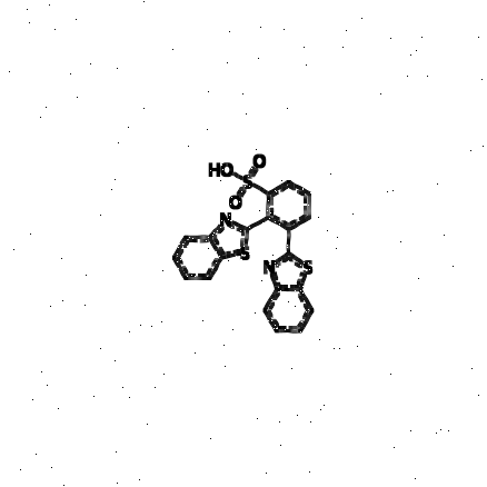 O=S(=O)(O)c1cccc(-c2nc3ccccc3s2)c1-c1nc2ccccc2s1